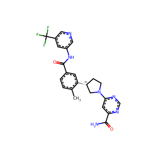 Cc1ccc(C(=O)Nc2cncc(C(F)(F)F)c2)cc1[C@@H]1CCN(c2cc(C(N)=O)ncn2)C1